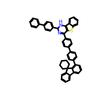 c1ccc(-c2ccc(C3N=C(c4ccc(-c5ccc(-c6cccc7c6C6(CCCCC6)c6ccccc6-7)cc5)cc4)c4sc5ccccc5c4N3)cc2)cc1